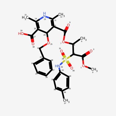 COC(=O)C(C(C)OC(=O)C1=C(C)NC(C)=C(C(=O)O)C1OCc1ccccc1)S(=O)(=O)Nc1ccc(C)cc1